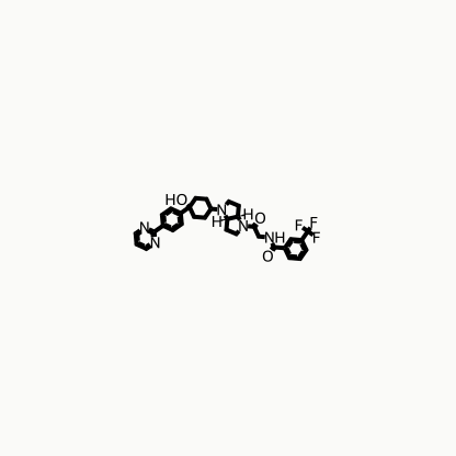 O=C(NCC(=O)N1CC[C@@H]2[C@H]1CCN2C1CCC(O)(c2ccc(-c3ncccn3)cc2)CC1)c1cccc(C(F)(F)F)c1